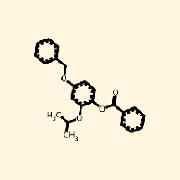 CC(C)Oc1cc(OCc2ccccc2)ccc1OC(=O)c1ccccc1